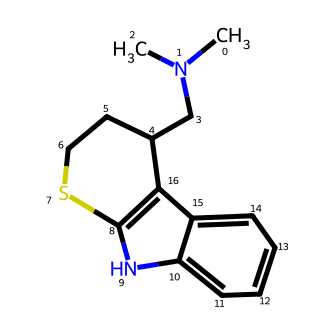 CN(C)CC1CCSc2[nH]c3ccccc3c21